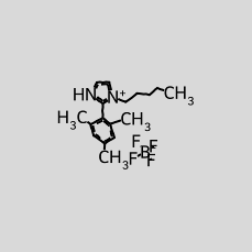 CCCCC[n+]1cc[nH]c1-c1c(C)cc(C)cc1C.F[B-](F)(F)F